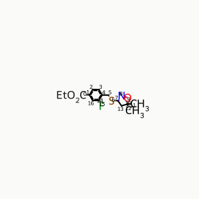 CCOC(=O)c1ccc(CSC2=NOC(C)(C)C2)c(F)c1